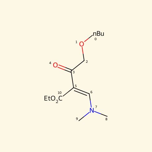 CCCCOCC(=O)/C(=C/N(C)C)C(=O)OCC